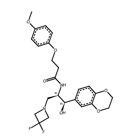 COc1ccc(OCCC(=O)N[C@H](CN2CC(F)(F)C2)[C@H](O)c2ccc3c(c2)OCCO3)cc1